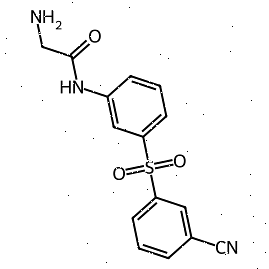 N#Cc1cccc(S(=O)(=O)c2cccc(NC(=O)CN)c2)c1